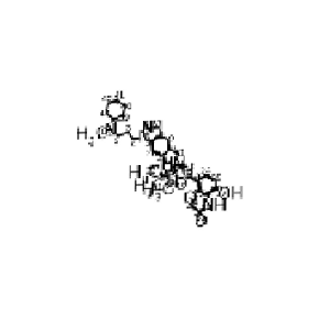 CN(CCCn1nnc2cc(CNC[C@@H](O[Si](C)(C)C(C)(C)C)c3ccc(O)c4c3OCC(=O)N4)ccc21)C1CC[CH]CC1